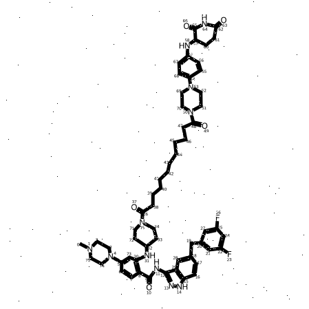 CN1CCN(c2ccc(C(=O)Nc3n[nH]c4ccc(Cc5cc(F)cc(F)c5)cc34)c(NC3CCN(C(=O)CCCCCCCCCCC(=O)N4CCN(c5ccc(NC6CCC(=O)NC6=O)cc5)CC4)CC3)c2)CC1